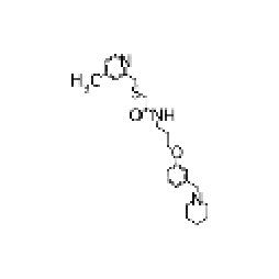 Cc1ccnc(CSCC(=O)NCCCOc2cccc(CN3CCCCC3)c2)c1